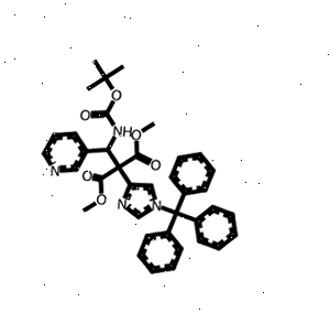 COC(=O)C(C(=O)OC)(c1cn(C(c2ccccc2)(c2ccccc2)c2ccccc2)cn1)C(NC(=O)OC(C)(C)C)c1cccnc1